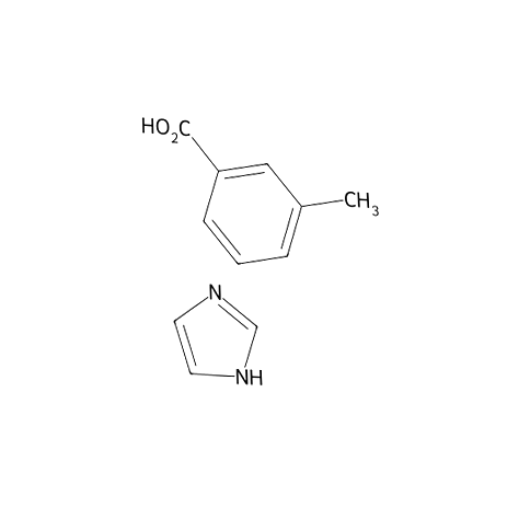 Cc1cccc(C(=O)O)c1.c1c[nH]cn1